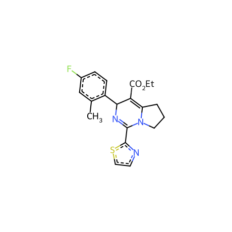 CCOC(=O)C1=C2CCCN2C(c2nccs2)=NC1c1ccc(F)cc1C